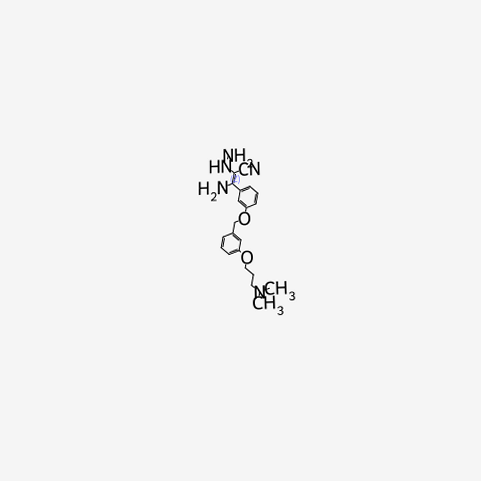 CN(C)CCCOc1cccc(COc2cccc(/C(N)=C(\C#N)NN)c2)c1